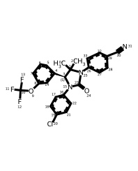 CC1(C)[C@H](c2cccc(OC(F)(F)F)c2)N(c2ccc(Cl)cc2)C(=O)N1c1ccc(C#N)cc1